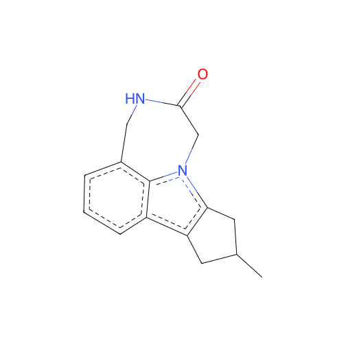 CC1Cc2c(n3c4c(cccc24)CNC(=O)C3)C1